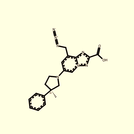 C[C@]1(c2ccccc2)CCN(c2cc(CN=[N+]=[N-])c3nc(C(=O)O)nn3c2)C1